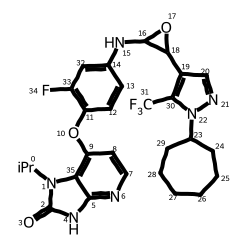 CC(C)n1c(=O)[nH]c2nccc(Oc3ccc(NC4OC4c4cnn(C5CCCCCC5)c4C(F)(F)F)cc3F)c21